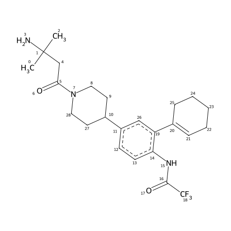 CC(C)(N)CC(=O)N1CCC(c2ccc(NC(=O)C(F)(F)F)c(C3=CCCCC3)c2)CC1